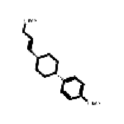 COCC=C[C@H]1CC[C@H](c2ccc(OC)cc2)CC1